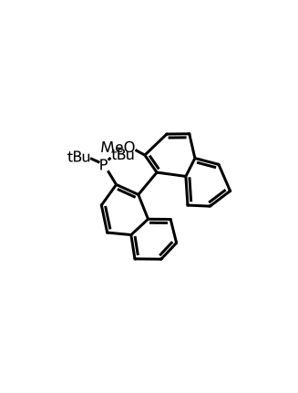 COc1ccc2ccccc2c1-c1c(P(C(C)(C)C)C(C)(C)C)ccc2ccccc12